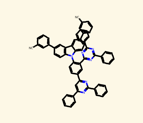 N#Cc1cccc(-c2ccc3c(c2)c2cc(-c4cccc(C#N)c4)ccc2n3-c2ccc(-c3cc(-c4ccccc4)nc(-c4ccccc4)n3)cc2-c2nc(-c3ccccc3)nc(-c3ccccc3)n2)c1